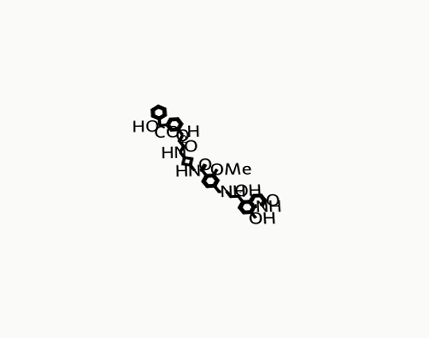 COc1cc(CNC[C@H](O)c2ccc(O)c3[nH]c(=O)ccc23)ccc1C(=O)NC1CC(NC(=O)COc2cccc([C@](O)(C(=O)O)c3ccccc3)c2)C1